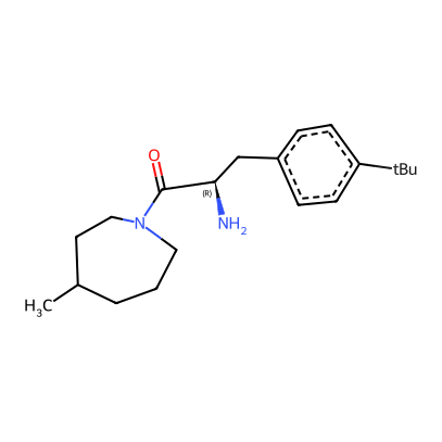 CC1CCCN(C(=O)[C@H](N)Cc2ccc(C(C)(C)C)cc2)CC1